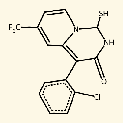 O=C1NC(S)N2C=CC(C(F)(F)F)=CC2=C1c1ccccc1Cl